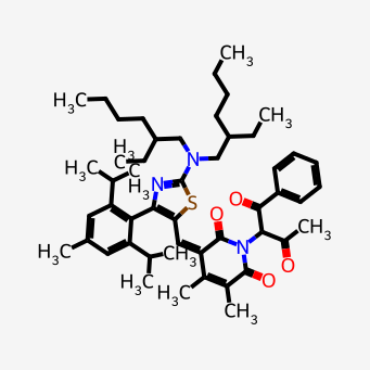 CCCCC(CC)CN(CC(CC)CCCC)c1nc(-c2c(C(C)C)cc(C)cc2C(C)C)c(/C=C2\C(=O)N(C(C(C)=O)C(=O)c3ccccc3)C(=O)C(C)=C2C)s1